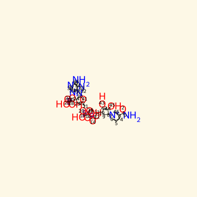 NC(=O)c1ccc[n+](C2CC(COP(=O)(O)OP(=O)(O)OCC3CC(OP(=O)(O)O)C(n4cnc5c(N)ncnc54)O3)C(O)C2O)c1